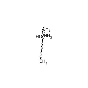 CCCCCCCCCCCCCC=CC(O)C(N)COCC